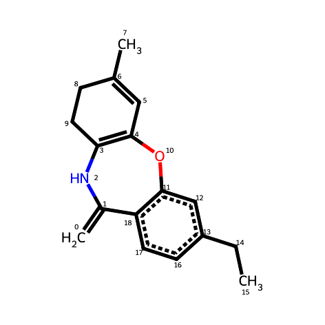 C=C1NC2=C(C=C(C)CC2)Oc2cc(CC)ccc21